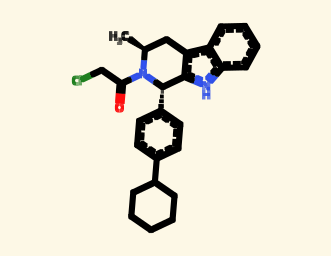 C[C@H]1Cc2c([nH]c3ccccc23)[C@H](c2ccc(C3CCCCC3)cc2)N1C(=O)CCl